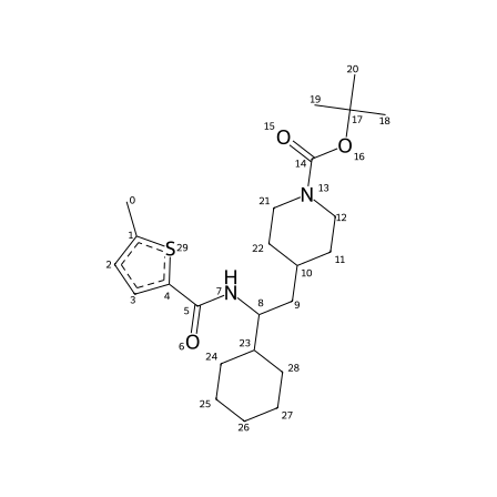 Cc1ccc(C(=O)NC(CC2CCN(C(=O)OC(C)(C)C)CC2)C2CCCCC2)s1